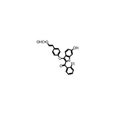 CCc1ccccc1C(=O)c1sc2cc(O)ccc2c1Oc1ccc(/C=C/OC=O)cc1